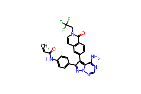 C=CC(=O)Nc1ccc(-c2nn3ncnc(N)c3c2-c2ccc3c(=O)n(CC(F)(F)F)ccc3c2)cc1